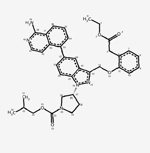 CCOC(=O)Cc1ccccc1OCc1nn([C@@H]2CCN(C(=O)OCC(C)C)C2)c2ccc(-c3cccc4c(N)nccc34)cc12